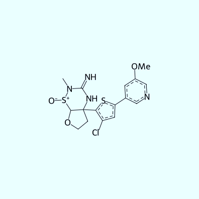 COc1cncc(-c2cc(Cl)c(C34CCOC3[S+]([O-])N(C)C(=N)N4)s2)c1